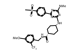 CNc1nc(N[C@H]2CC[C@@H](C(=O)NCc3ccc(OC)cc3C(F)(F)F)CC2)nc(-c2ccc(S(C)(=O)=O)cc2)n1